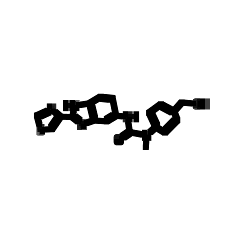 CN(C(=O)Nc1ccc2[nH]c(-c3cscn3)nc2c1)c1ccc(CO)cc1